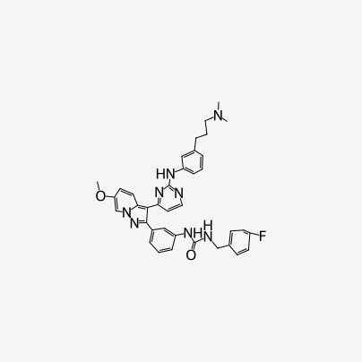 COc1ccc2c(-c3ccnc(Nc4cccc(CCCN(C)C)c4)n3)c(-c3cccc(NC(=O)NCc4ccc(F)cc4)c3)nn2c1